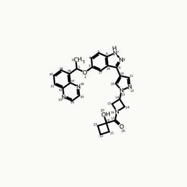 CC(Oc1ccc2[nH]nc(-c3cnn(C4CN(C(=O)C5(O)CCC5)C4)c3)c2c1)c1cccc2nccnc12